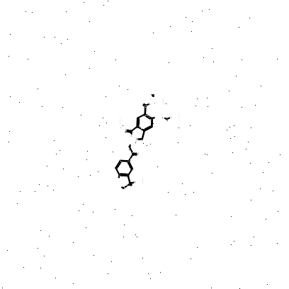 Br.CCOc1cc2c(cc1C(=O)NC)C(=N)N(CC(=O)c1ccc3c(c1)C(C)(C)CO3)C2